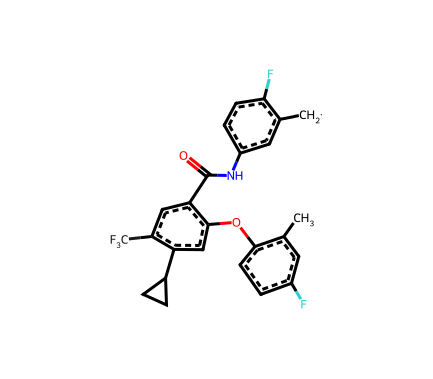 [CH2]c1cc(NC(=O)c2cc(C(F)(F)F)c(C3CC3)cc2Oc2ccc(F)cc2C)ccc1F